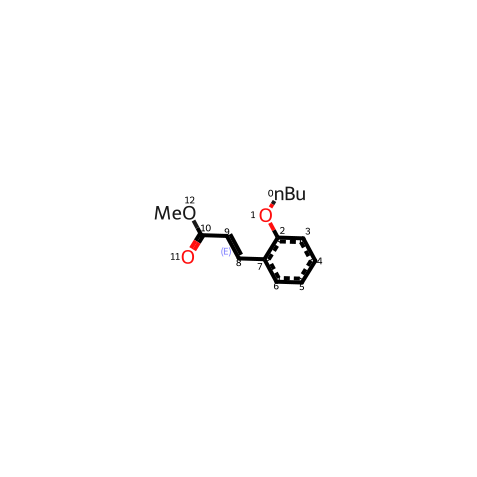 CCCCOc1ccccc1/C=C/C(=O)OC